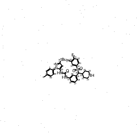 Cc1ccc(-n2nc(C(C)(C)C)cc2NC(=O)Nc2cccc(C(C3CCNCC3)S(=O)(=O)c3ccc(F)c(F)c3)c2)cc1